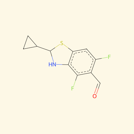 O=Cc1c(F)cc2c(c1F)NC(C1CC1)S2